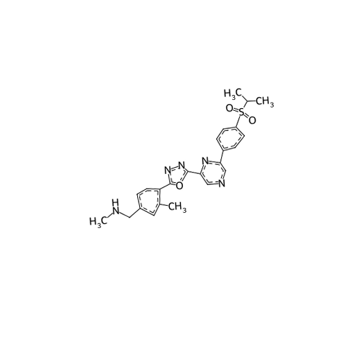 CNCc1ccc(-c2nnc(-c3cncc(-c4ccc(S(=O)(=O)C(C)C)cc4)n3)o2)c(C)c1